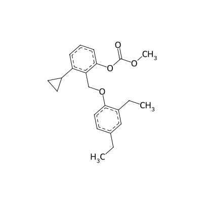 CCc1ccc(OCc2c(OC(=O)OC)cccc2C2CC2)c(CC)c1